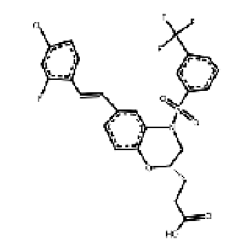 O=C(O)CC[C@H]1CN(S(=O)(=O)c2cccc(C(F)(F)F)c2)c2cc(/C=C/c3ccc(Cl)cc3F)ccc2O1